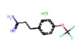 Cl.N=C(N)CCc1ccc(OC(F)(F)F)cc1